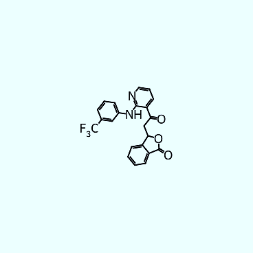 O=C1OC(CC(=O)c2cccnc2Nc2cccc(C(F)(F)F)c2)c2ccccc21